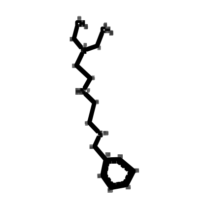 CCN(CC)CCNCCSCc1ccccc1